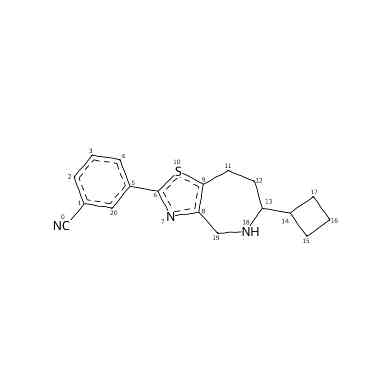 N#Cc1cccc(-c2nc3c(s2)CCC(C2CCC2)NC3)c1